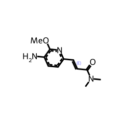 COc1nc(/C=C/C(=O)N(C)C)ccc1N